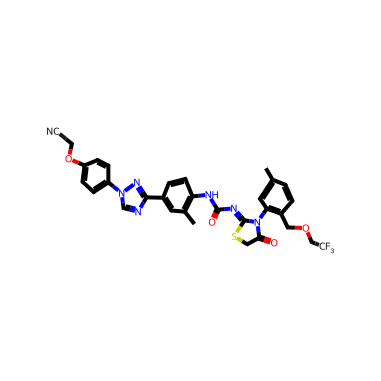 Cc1ccc(COCC(F)(F)F)c(N2C(=O)CS/C2=N\C(=O)Nc2ccc(-c3ncn(-c4ccc(OCC#N)cc4)n3)cc2C)c1